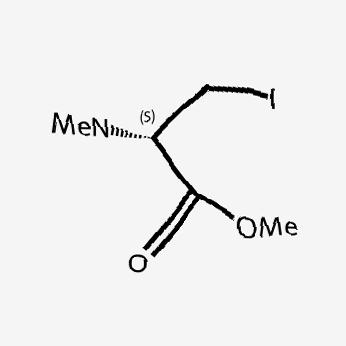 CN[C@H](CI)C(=O)OC